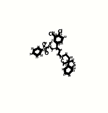 CN(C[C@H](CCN1CCC2(CC1)CSc1ccccc12)c1ccc(Cl)c(Cl)c1)S(=O)(=O)c1ccccc1